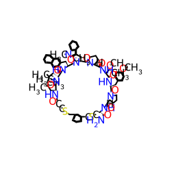 CCC[C@@H]1NC(=O)CCSCc2cccc(c2)CSC[C@@H](C(N)=O)NC(=O)[C@@H]2CCCN2C(=O)[C@H](Cc2ccc(OC)cc2)NC(=O)[C@H]([C@@H](C)OC)NC(=O)[C@@H]2CCCN2C(=O)[C@H](Cc2cn(C)c3ccccc23)N(C)C(=O)[C@H](Cc2ccc3ccccc3c2)NC(=O)[C@@H](CC(C)C)N(C)C1=O